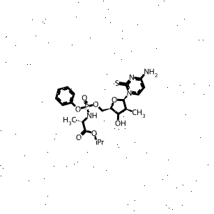 CC(C)OC(=O)[C@H](C)NP(=O)(OC[C@H]1O[C@@H](n2ccc(N)nc2=S)[C@@H](C)C1O)Oc1ccccc1